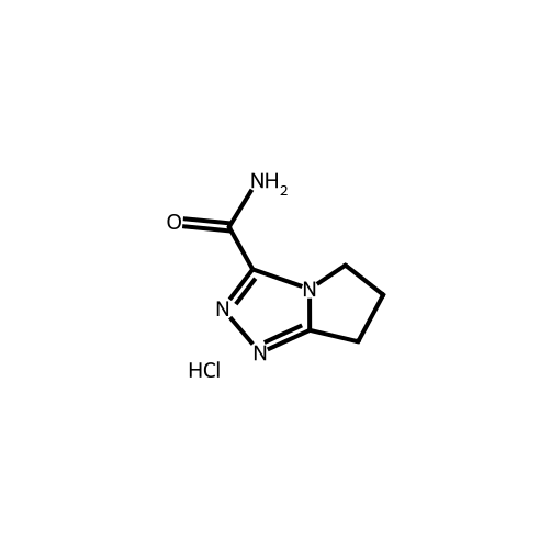 Cl.NC(=O)c1nnc2n1CCC2